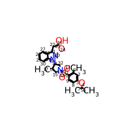 Cc1cc(OC(C)C)ccc1S(=O)(=O)N1C[C@@H](C)[C@@H](n2nc(CC(=O)O)c3ccccc32)C1